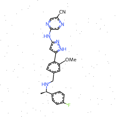 COc1cc(CN[C@H](C)c2ccc(F)cc2)ccc1-c1cc(Nc2cnc(C#N)cn2)n[nH]1